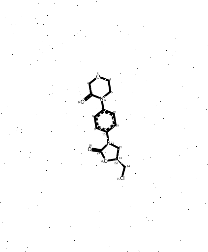 O=C1COCCN1c1ccc(N2C[C@@H](CCl)OC2=O)cc1